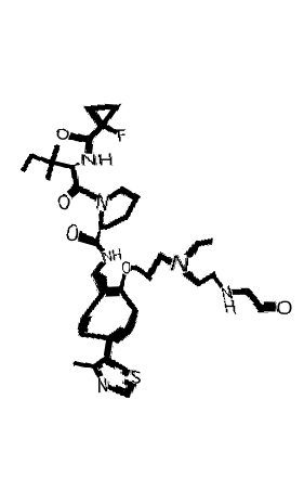 CCN(CCNCC=O)CCOC1=C(CNC(=O)[C@@H]2CCCN2C(=O)[C@@H](NC(=O)C2(F)CC2)C(C)(C)CC)C=CC(c2scnc2C)=CC1